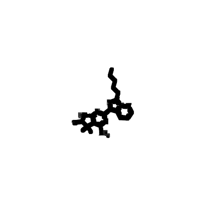 CCCCCc1nc(-c2nc(N)c3c(n2)NC(=O)C3(C)C)c2cccnn12